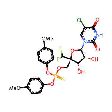 COc1ccc(OP(=S)(OC[C@@]2(C(F)F)O[C@@H](n3cc(Cl)c(=O)[nH]c3=O)[C@H](O)[C@@H]2O)Oc2ccc(OC)cc2)cc1